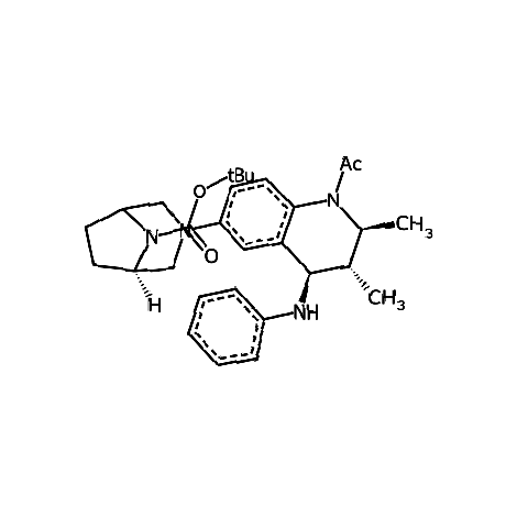 CC(=O)N1c2ccc(N3CC4CC[C@H](C3)N4C(=O)OC(C)(C)C)cc2[C@H](Nc2ccccc2)[C@@H](C)[C@@H]1C